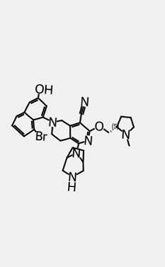 CN1CCC[C@H]1COc1nc(N2C3CCC2CNC3)c2c(c1C#N)CN(c1cc(O)cc3cccc(Br)c13)CC2